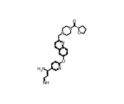 N=C/C=C(\N)c1ccc(Oc2ccc3nc(CN4CCN(C(=O)[C@H]5CCCO5)CC4)ccc3c2)nc1